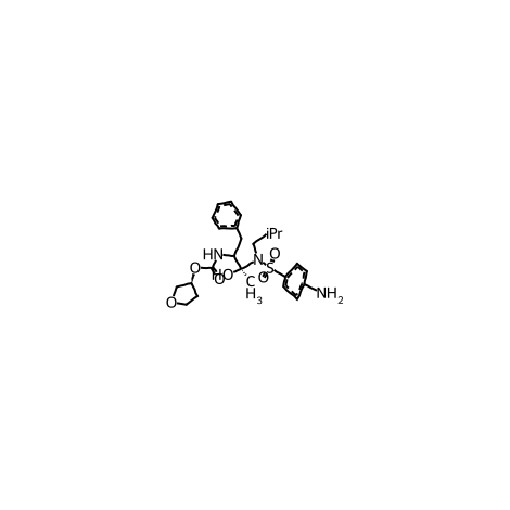 CC(C)CN([C@@](C)(O)C(Cc1ccccc1)NC(=O)O[C@H]1CCOC1)S(=O)(=O)c1ccc(N)cc1